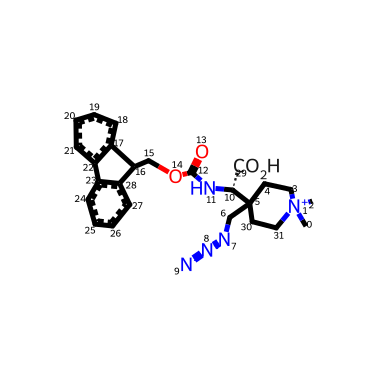 C[N+]1(C)CCC(CN=[N+]=[N-])([C@H](NC(=O)OCC2c3ccccc3-c3ccccc32)C(=O)O)CC1